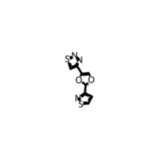 C1=C(c2csnn2)O[C](c2ccsn2)O1